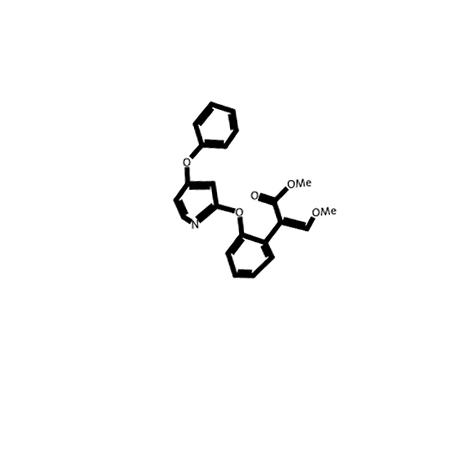 COC=C(C(=O)OC)c1ccccc1Oc1cc(Oc2ccccc2)ccn1